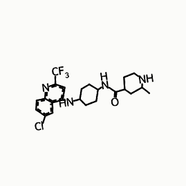 CC1CC(C(=O)NC2CCC(Nc3cc(C(F)(F)F)nc4ccc(Cl)cc34)CC2)CCN1